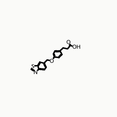 O=C(O)CCc1ccc(OCc2ccc3ncsc3c2)cc1